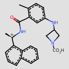 Cc1ccc(NC2CN(C(=O)O)C2)cc1C(=O)N[C@H](C)c1cccc2ccccc12